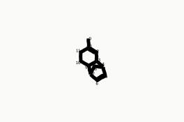 CC1=CC2C3C=CC(C3)C2CC1